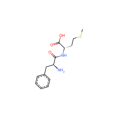 CSCC[C@H](NC(=O)[C@@H](N)Cc1ccccc1)C(=O)O